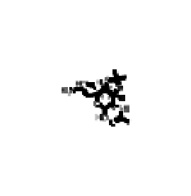 CC(=O)N[C@@H]1C(O)O[C@@](CO)(CCN)[C@@H]2OC(C)(C)O[C@H]12